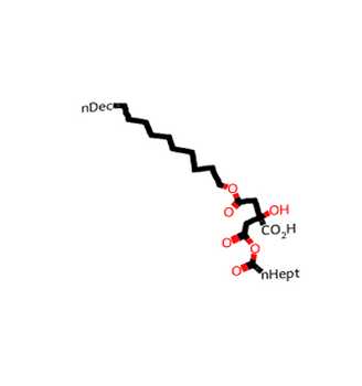 CCCCCCCCCCCCCCCCCCCCOC(=O)CC(O)(CC(=O)OC(=O)CCCCCCC)C(=O)O